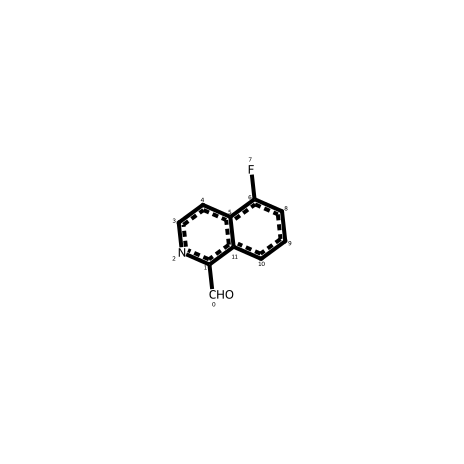 O=Cc1nccc2c(F)cccc12